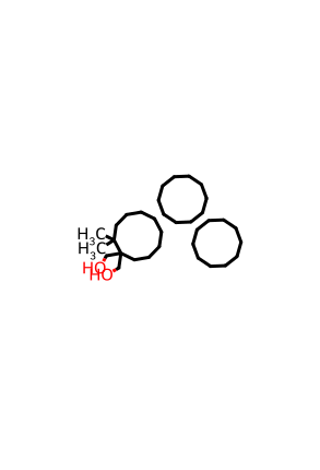 C1CCCCCCCCC1.C1CCCCCCCCC1.CC1(C)CCCCCCCCC1(CO)CO